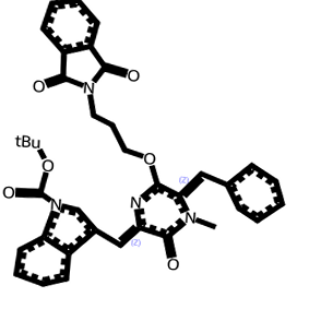 Cn1c(=O)/c(=C/c2cn(C(=O)OC(C)(C)C)c3ccccc23)nc(OCCCN2C(=O)c3ccccc3C2=O)/c1=C/c1ccccc1